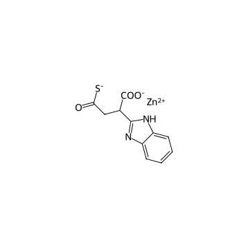 O=C([S-])CC(C(=O)[O-])c1nc2ccccc2[nH]1.[Zn+2]